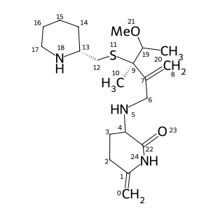 C=C1CCC(NCC(=C)[C@@](C)(SC[C@H]2CCCCN2)C(C)OC)C(=O)N1